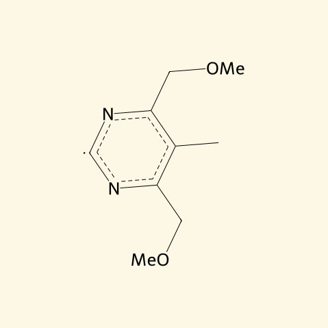 COCc1n[c]nc(COC)c1C